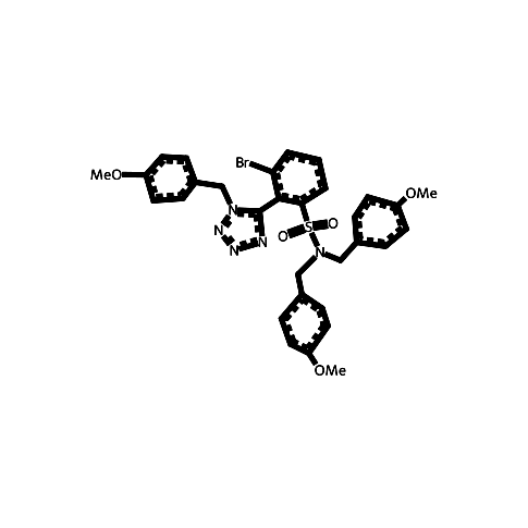 COc1ccc(CN(Cc2ccc(OC)cc2)S(=O)(=O)c2cccc(Br)c2-c2nnnn2Cc2ccc(OC)cc2)cc1